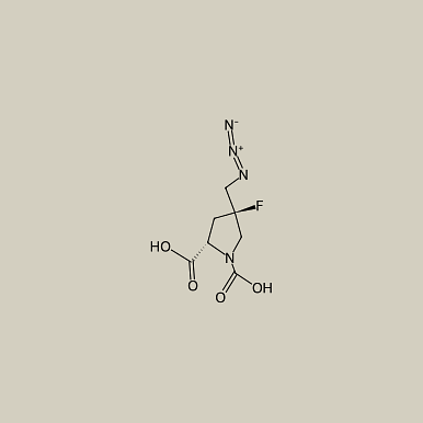 [N-]=[N+]=NC[C@@]1(F)C[C@@H](C(=O)O)N(C(=O)O)C1